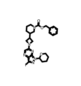 O=C(OCc1ccccc1)N1CCCC(C2CN(c3cnc4c(I)nn(C5CCCCO5)c4n3)C2)C1